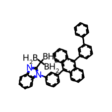 BC(B)(B)c1nc2ccccc2n1-c1cccc(-c2c3ccccc3c(-c3cccc(-c4ccccc4)c3)c3ccccc23)c1